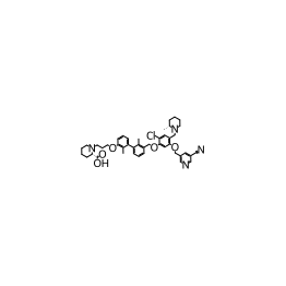 Cc1c(COc2cc(OCc3cncc(C#N)c3)c(CN3CCCC[C@H]3C)cc2Cl)cccc1-c1cccc(OCCCN2CCCC[C@H]2C(=O)O)c1C